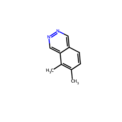 Cc1ccc2cnncc2c1C